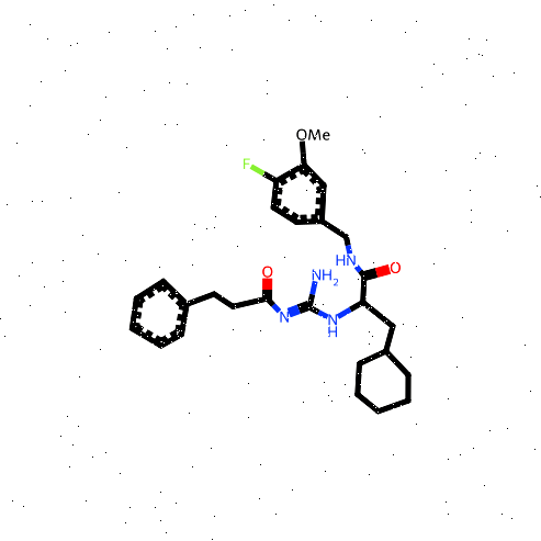 COc1cc(CNC(=O)C(CC2CCCCC2)NC(N)=NC(=O)CCc2ccccc2)ccc1F